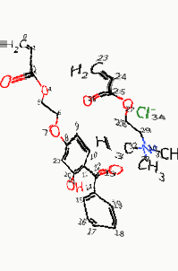 C=CC(=O)OCCOc1ccc(C(=O)c2ccccc2)c(O)c1.C=CC(=O)OCC[N+](C)(C)C.[Cl-]